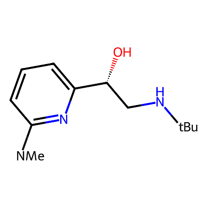 CNc1cccc([C@H](O)CNC(C)(C)C)n1